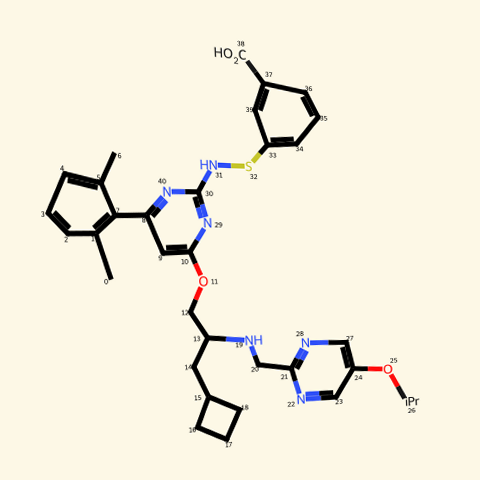 Cc1cccc(C)c1-c1cc(OCC(CC2CCC2)NCc2ncc(OC(C)C)cn2)nc(NSc2cccc(C(=O)O)c2)n1